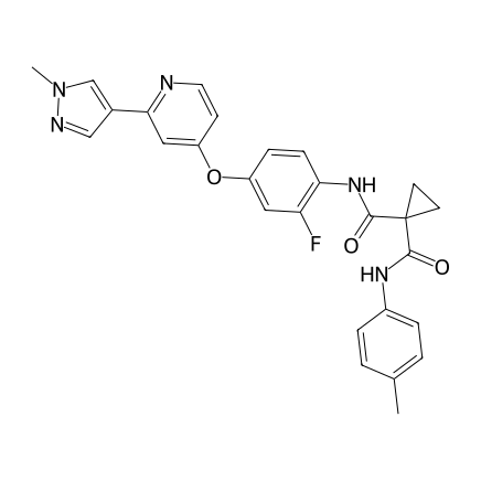 Cc1ccc(NC(=O)C2(C(=O)Nc3ccc(Oc4ccnc(-c5cnn(C)c5)c4)cc3F)CC2)cc1